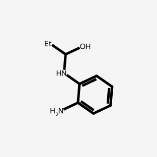 CCC(O)Nc1ccccc1N